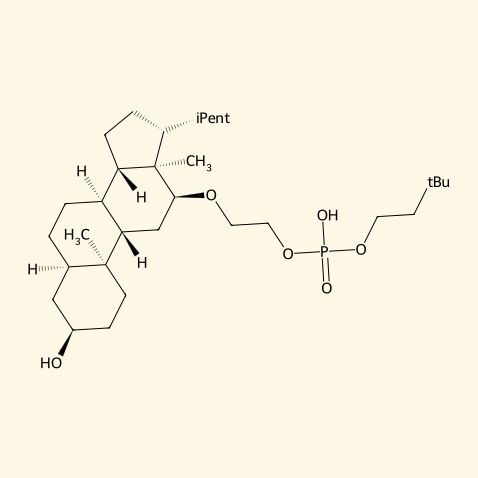 CCC[C@@H](C)[C@H]1CC[C@H]2[C@@H]3CC[C@@H]4C[C@H](O)CC[C@]4(C)[C@H]3C[C@H](OCCOP(=O)(O)OCCC(C)(C)C)[C@]12C